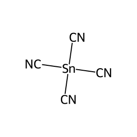 N#[C][Sn]([C]#N)([C]#N)[C]#N